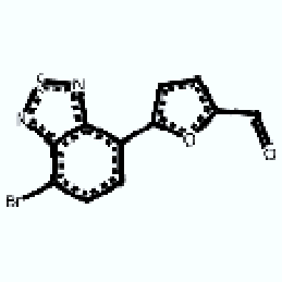 O=Cc1ccc(-c2ccc(Br)c3nsnc23)o1